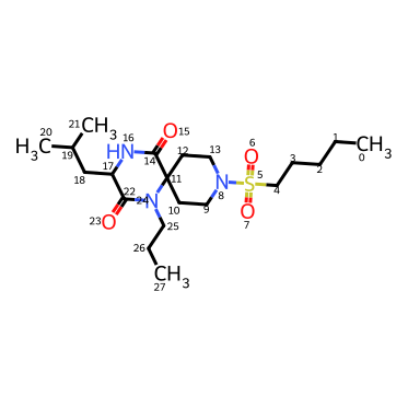 CCCCCS(=O)(=O)N1CCC2(CC1)C(=O)NC(CC(C)C)C(=O)N2CCC